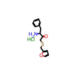 Cl.NC(Cc1ccccc1)C(=O)CSCc1ccco1